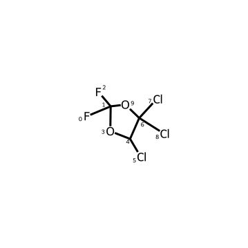 FC1(F)OC(Cl)C(Cl)(Cl)O1